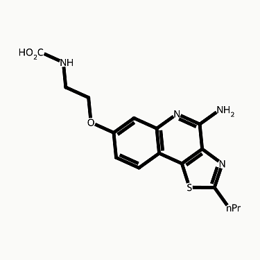 CCCc1nc2c(N)nc3cc(OCCNC(=O)O)ccc3c2s1